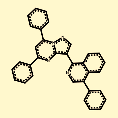 c1ccc(-c2cc(-c3ccccc3)n3ncc(-c4ncc(-c5ccccc5)c5ccccc45)c3n2)cc1